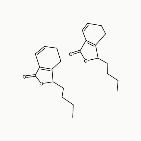 CCCCC1OC(=O)C2=C1CCC=C2.CCCCC1OC(=O)C2=C1CCC=C2